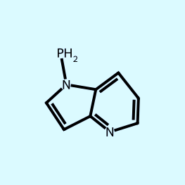 Pn1ccc2ncccc21